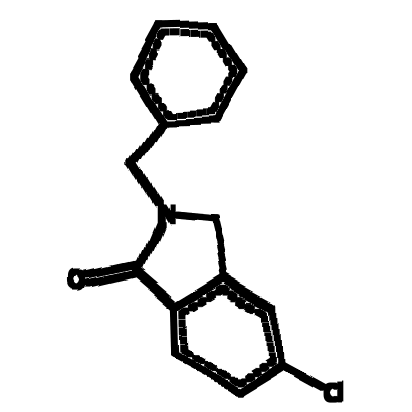 O=C1c2ccc(Cl)cc2CN1Cc1ccccc1